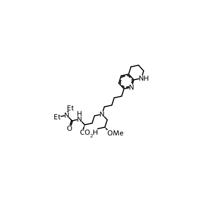 CCN(CC)C(=O)N[C@@H](CCN(CCCCc1ccc2c(n1)NCCC2)C[C@H](C)OC)C(=O)O